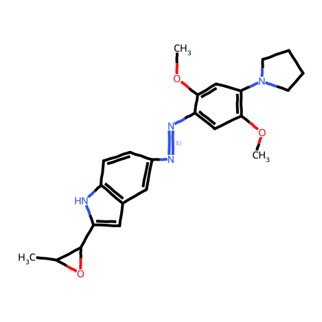 COc1cc(N2CCCC2)c(OC)cc1/N=N/c1ccc2[nH]c(C3OC3C)cc2c1